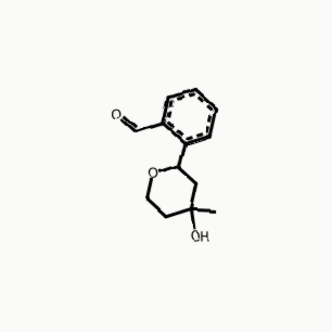 CC1(O)CCOC(c2ccccc2C=O)C1